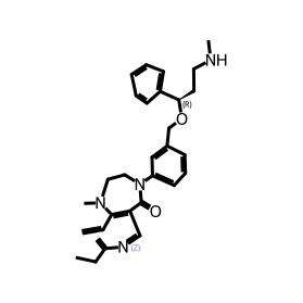 C=CC1=C(/C=N\C(=C)CC)C(=O)N(c2cccc(CO[C@H](CCNC)c3ccccc3)c2)CCN1C